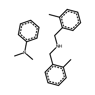 CN(C)c1ccccc1.Cc1ccccc1CNCc1ccccc1C